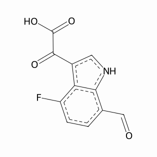 O=Cc1ccc(F)c2c(C(=O)C(=O)O)c[nH]c12